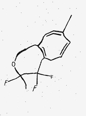 Cc1ccc2c(c1)COC(C)(F)C2(F)F